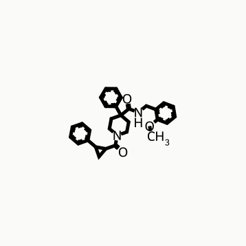 COc1ccccc1CNC(=O)C1(c2ccccc2)CCN(C(=O)C2CC2c2ccccc2)CC1